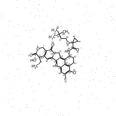 CC[C@@]1(O)C(=O)OCc2c1cc1n(c2=O)Cc2c-1nc1cc(F)c(Cl)c3c1c2[C@@H](NC(=O)C1(OCCC(C)(C)C)CC1)CC3